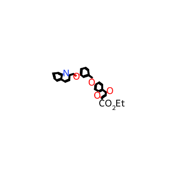 CCOC(=O)c1cc(=O)c2ccc(OCc3cccc(OCc4ccc5ccccc5n4)c3)cc2o1